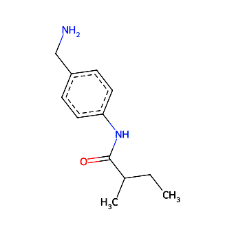 CCC(C)C(=O)Nc1ccc(CN)cc1